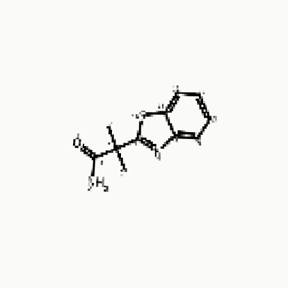 CC(C)(C(N)=O)c1nc2ccccc2s1